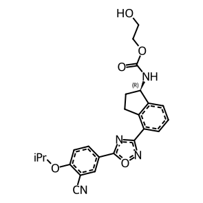 CC(C)Oc1ccc(-c2nc(-c3cccc4c3CC[C@H]4NC(=O)OCCO)no2)cc1C#N